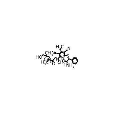 CCc1c(C#N)c(SC(C(N)=O)c2ccccc2)nc(N(C)CC(=O)N(C)CC(C)(C)CO)c1C#N